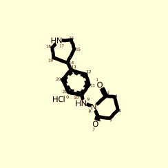 Cl.O=C1CCCC(=O)N1Nc1ccc(C2CCNCC2)cc1